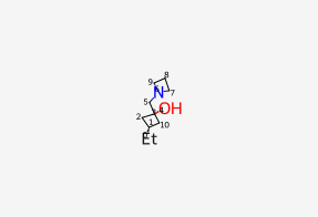 CC[C@H]1C[C@](O)(CN2CCC2)C1